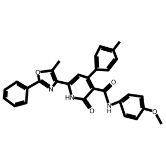 COc1ccc(NC(=O)c2c(-c3ccc(C)cc3)cc(-c3nc(-c4ccccc4)oc3C)[nH]c2=O)cc1